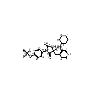 CC1(Cc2ccncc2NC2CCCCC2)NC(=O)N(c2ccc(OC(F)(F)F)cc2)C1=O